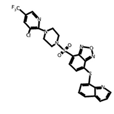 O=S(=O)(c1ccc(Sc2cccc3cccnc23)c2nonc12)N1CCN(c2ncc(C(F)(F)F)cc2Cl)CC1